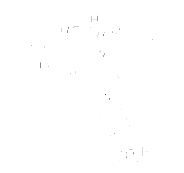 C[C@H]1[C@@H](N(C(=O)c2ccccc2)C2CCN(c3ccc(C(=O)O)cc3)CC2)C[C@@H]2C[C@@H]1C2(C)C